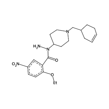 CCOc1ccc([N+](=O)[O-])cc1C(=O)N(N)C1CCN(CC2CC=CCC2)CC1